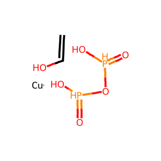 C=CO.O=[PH](O)O[PH](=O)O.[Cu]